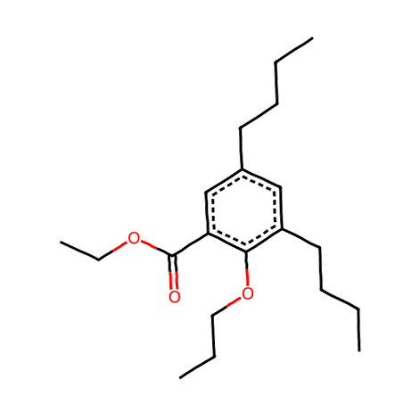 CCCCc1cc(CCCC)c(OCCC)c(C(=O)OCC)c1